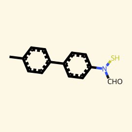 Cc1ccc(-c2ccc(N(S)C=O)cc2)cc1